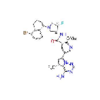 COc1ncc(-c2cc(C(F)(F)F)c3c(N)ncnn23)cc1C(=O)N[C@@H]1CN(C2=CCCc3c(Br)cccc32)C[C@@H]1F